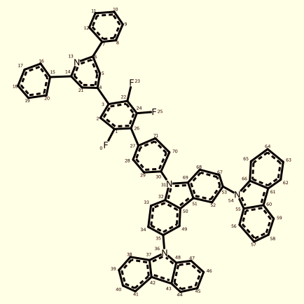 Fc1cc(-c2cc(-c3ccccc3)nc(-c3ccccc3)c2)c(F)c(F)c1-c1ccc(-n2c3ccc(-n4c5ccccc5c5ccccc54)cc3c3cc(-n4c5ccccc5c5ccccc54)ccc32)cc1